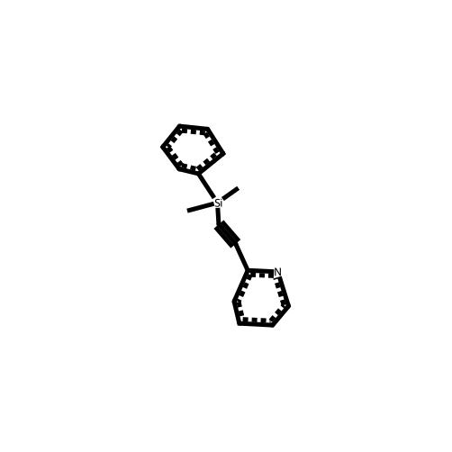 C[Si](C)(C#Cc1ccccn1)c1ccccc1